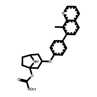 [CH2]CCCCCCCC(=O)OC12CCC(CC(Oc3ccc(-c4ccc5cccnc5c4C)cc3)C1)N2